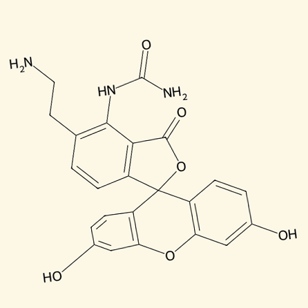 NCCc1ccc2c(c1NC(N)=O)C(=O)OC21c2ccc(O)cc2Oc2cc(O)ccc21